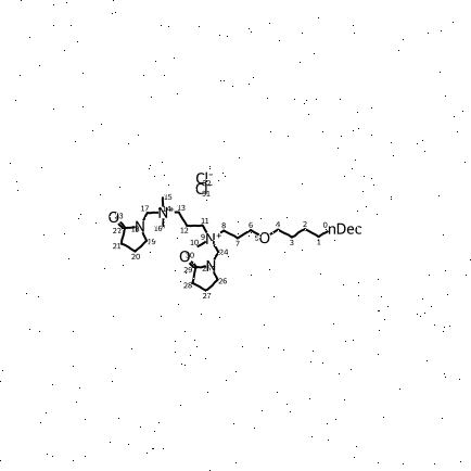 CCCCCCCCCCCCCCOCCC[N+](C)(CCC[N+](C)(C)CN1CCCC1=O)CN1CCCC1=O.[Cl-].[Cl-]